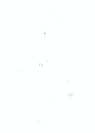 CC(C)(O)C#Cc1sc2cnccc2c1-c1cc2c(-c3cnn([C@H]4CC[C@H](OC(=O)C(F)(F)F)CC4)c3)cnc(N)c2o1